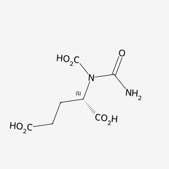 NC(=O)N(C(=O)O)[C@@H](CCC(=O)O)C(=O)O